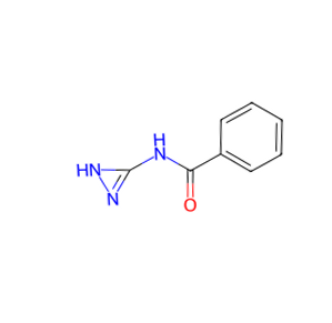 O=C(NC1=NN1)c1ccccc1